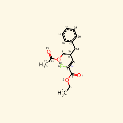 CCOC(=O)/C(F)=C/[C@@H](COC(C)=O)Cc1ccccc1